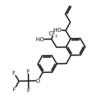 C=CCC(O)c1cccc(Cc2cccc(OC(F)(F)C(F)F)c2)c1CC(O)C(F)(F)F